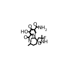 CC1CCC2(CC(C)(F)NO2)C2CN1C(=O)c1c(O)c(=O)c(C(N)=O)cn12